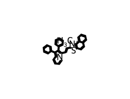 C[n+]1c(/C=C/c2c(-c3ccccc3)c(-c3ccccc3)c3ccccn23)sc2ccc3ccccc3c21